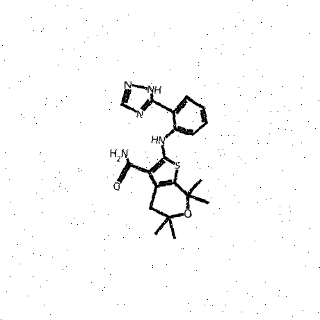 CC1(C)Cc2c(sc(Nc3ccccc3-c3ncn[nH]3)c2C(N)=O)C(C)(C)O1